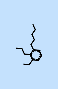 CCCCCc1[c]ccc(CC)c1CCC